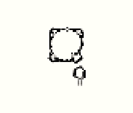 C1=CNC=CC1.C1=Cc2cc3ccc(cc4nc(cc5ccc(cc1n2)[nH]5)C=C4)[nH]3